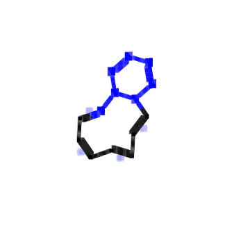 C1=C\C=N\N2N=NN=NN2/C=C/C=C/1